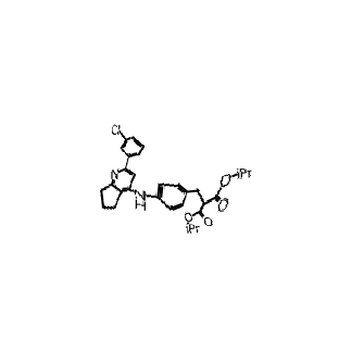 CC(C)OC(=O)C(Cc1ccc(Nc2cc(-c3cccc(Cl)c3)nc3c2CCC3)cc1)C(=O)OC(C)C